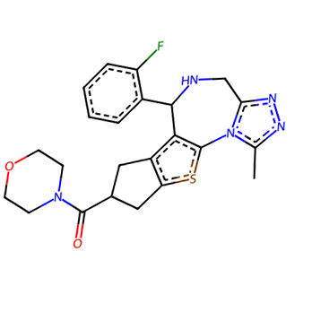 Cc1nnc2n1-c1sc3c(c1C(c1ccccc1F)NC2)CC(C(=O)N1CCOCC1)C3